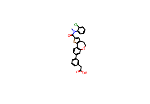 CN(C(=O)c1cc2c(s1)-c1ccc(-c3cccc(CC(=O)O)c3)cc1OCC2)c1ccccc1Cl